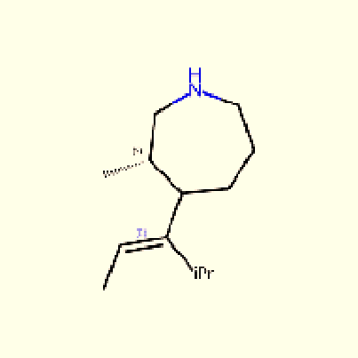 C/C=C(\C(C)C)C1CCCNC[C@H]1C